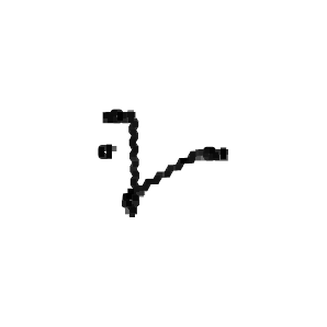 CCCCCCCC/C=C/CCCCCCCCC(CCCCCCCC/C=C/CCCCCCCC)[n+]1ccn(C)c1.[Cl-]